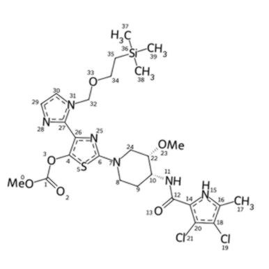 COC(=O)Oc1sc(N2CC[C@@H](NC(=O)c3[nH]c(C)c(Cl)c3Cl)[C@@H](OC)C2)nc1-c1nccn1COCC[Si](C)(C)C